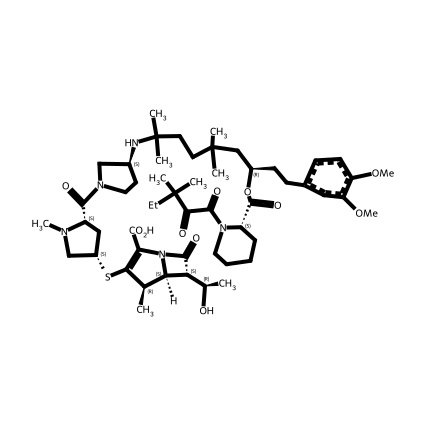 CCC(C)(C)C(=O)C(=O)N1CCCC[C@H]1C(=O)O[C@H](CCc1ccc(OC)c(OC)c1)CC(C)(C)CCC(C)(C)N[C@H]1CCN(C(=O)[C@@H]2C[C@H](SC3=C(C(=O)O)N4C(=O)[C@H]([C@@H](C)O)[C@H]4[C@H]3C)CN2C)C1